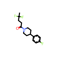 CC(F)(F)CCC(=O)N1CCC(c2ccc(F)cc2)CC1